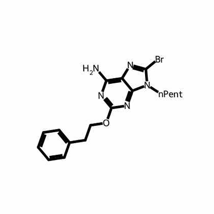 CCCCCn1c(Br)nc2c(N)nc(OCCc3ccccc3)nc21